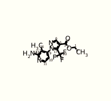 CCOC(=O)c1cnn(-c2ccnc(N)c2C)c1C(F)(F)F